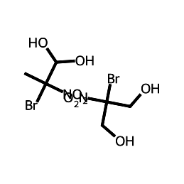 CC(Br)(C(O)O)[N+](=O)[O-].O=[N+]([O-])C(Br)(CO)CO